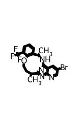 CC1CCOc2c(cccc2C(F)(F)F)C(C)Nc2nc1nc1ncc(Br)cc21